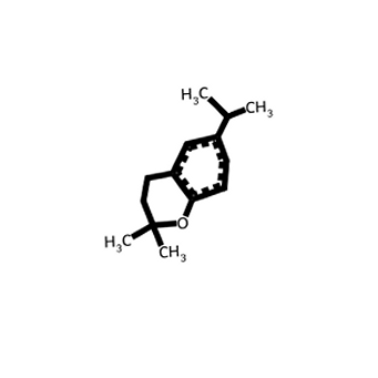 CC(C)c1ccc2c(c1)CCC(C)(C)O2